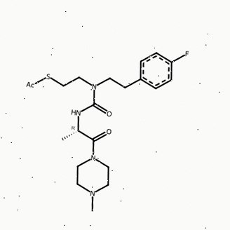 CC(=O)SCCN(CCc1ccc(F)cc1)C(=O)N[C@@H](C)C(=O)N1CCN(C)CC1